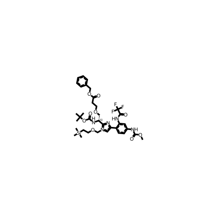 COC(=O)Nc1ccc(-c2cn(COCC[Si](C)(C)C)c([C@@H](COCCC(=O)OCc3ccccc3)NC(=O)OC(C)(C)C)n2)c(NC(=O)C(F)(F)F)c1